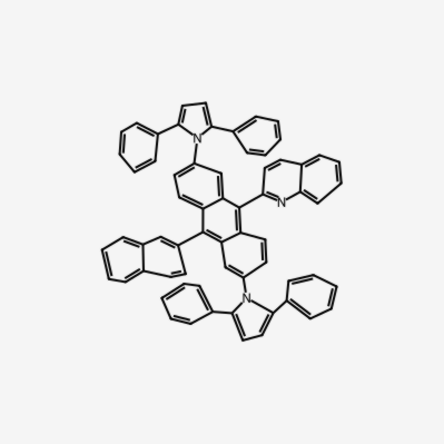 c1ccc(-c2ccc(-c3ccccc3)n2-c2ccc3c(-c4ccc5ccccc5n4)c4cc(-n5c(-c6ccccc6)ccc5-c5ccccc5)ccc4c(-c4ccc5ccccc5c4)c3c2)cc1